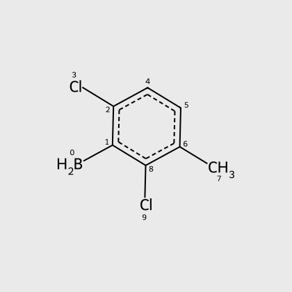 Bc1c(Cl)ccc(C)c1Cl